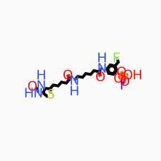 O=C(CCCCC1SCC2NC(=O)NC21)NCCCCCC(=O)Nc1ccc(OP(=O)(O)OI)c(CF)c1